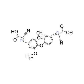 COc1cc(/C=C(\C#N)C(=O)O)ccc1Oc1ccc(/C=C(\C#N)C(=O)O)cc1OC